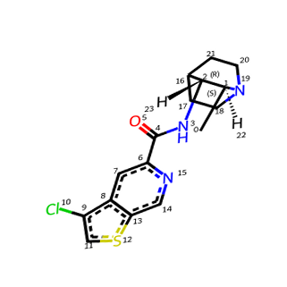 C[C@H]1[C@H](NC(=O)c2cc3c(Cl)csc3cn2)C2CCN1CC2